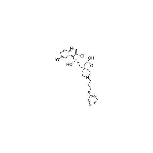 COc1ccc2ncc(Cl)c([C@@H](O)CCC3(CC(=O)O)CCN(CCCSc4cnccn4)CC3)c2c1